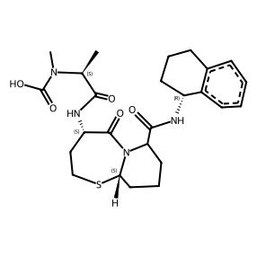 C[C@@H](C(=O)N[C@H]1CCS[C@H]2CCCC(C(=O)N[C@@H]3CCCc4ccccc43)N2C1=O)N(C)C(=O)O